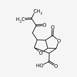 C=C(C)C(=O)CC1C2OC3C(OC(=O)C13)C2C(=O)O